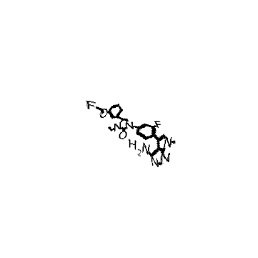 CCN1C(=O)N(c2ccc(-c3cn(C)c4ncnc(N)c34)c(F)c2)CC1c1cccc(OCF)c1